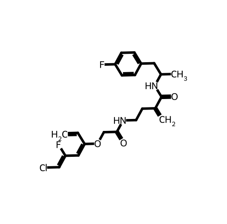 C=C/C(=C\C(F)=C\Cl)OCC(=O)NCCC(=C)C(=O)NC(C)Cc1ccc(F)cc1